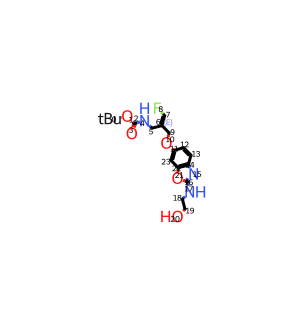 CC(C)(C)OC(=O)NC/C(=C\F)COc1ccc2nc(NCCO)oc2c1